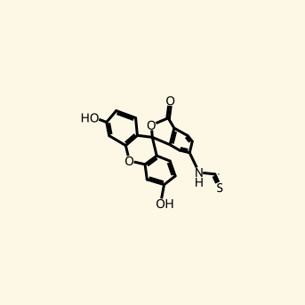 O=C1OC2(c3ccc(O)cc3Oc3cc(O)ccc32)c2cc(N[C]=S)ccc21